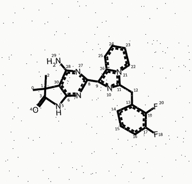 CC1(C)C(=O)Nc2nc(-c3nc(Cc4cccc(F)c4F)n4ccccc34)nc(N)c21